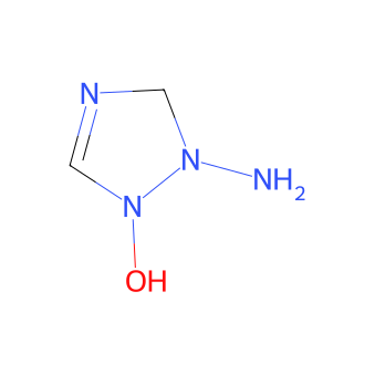 NN1CN=CN1O